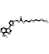 Nc1ncnc2c1ncn2C1CC[C@@H](COC(=O)OCCSSCCO[N+](=O)[O-])O1